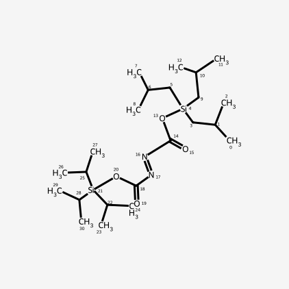 CC(C)C[Si](CC(C)C)(CC(C)C)OC(=O)N=NC(=O)O[Si](C(C)C)(C(C)C)C(C)C